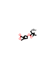 CC(C)(C)CC1(C(=O)OC2CC3CC2C2C(=O)OCC32)CC1(C)C